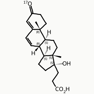 C[C@]12CCC(=[17O])C=C1C=C[C@@H]1[C@@H]2CC[C@@]2(C)[C@H]1CC[C@]2(O)CCC(=O)O